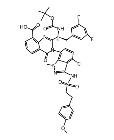 COc1ccc(CCS(=O)(=O)Nc2nn(C)c3c(-n4c([C@H](Cc5cc(F)cc(F)c5)NC(=O)OC(C)(C)C)nc5c(C(=O)O)cccc5c4=O)ccc(Cl)c23)cc1